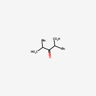 CC(C)(C)C(C(=O)O)C(=O)C(C(=O)O)C(C)(C)C